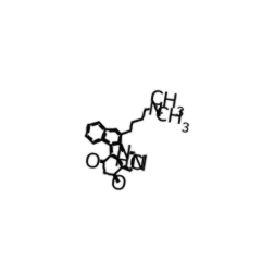 CN(C)CCCCc1cc2ccccc2c2c3c4c(cncn4c12)C(=O)CC3=O.Cl